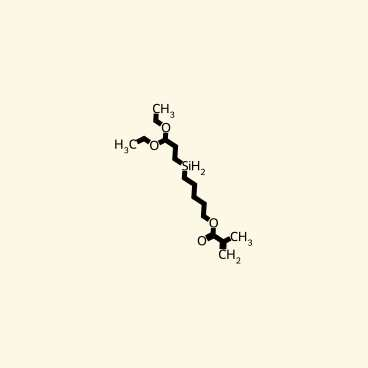 C=C(C)C(=O)OCCCCC[SiH2]CCC(OCC)OCC